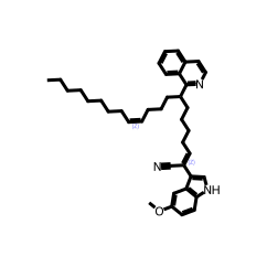 CCCCCCCC/C=C\CCCC(CCCC/C=C(\C#N)c1c[nH]c2ccc(OC)cc12)c1nccc2ccccc12